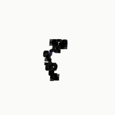 Cc1oc2c(Oc3cncs3)cccc2c1CN(C)C(=O)/C=C/c1cnc2c(c1)NCCC(=O)N2